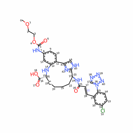 COCCOC(=O)Nc1ccc2c(c1)N[C@@H](C(=O)O)CCCC[C@H](NC(=O)/C=C/c1cc(Cl)ccc1-n1cnnn1)c1nc-2c[nH]1